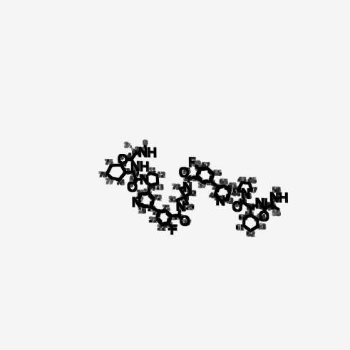 CN[C@@H](C)C(=O)N[C@H](C(=O)N1CCC[C@H]1c1cncc(-c2ccc(F)c(C(=O)N3CC4(C3)CN(C(=O)c3cc(-c5cncc([C@@H]6CCCN6C(=O)[C@@H](NC(=O)[C@H](C)NC)C6CCCCC6)c5)ccc3F)C4)c2)c1)C1CCCCC1